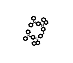 c1ccc(N(c2ccccc2)c2ccc(N(c3ccc(Cc4ccc(N(c5ccc(N(c6ccccc6)c6ccccc6)cc5)c5cccc6ccccc56)cc4)cc3)c3cccc4ccccc34)cc2)cc1